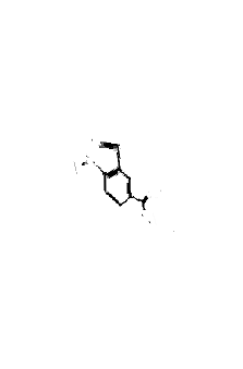 NC(=O)c1ccc2c(cnn2F)c1